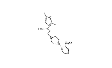 COc1ccccc1N1CCN(CCC(O)c2cc(C)sc2C)CC1